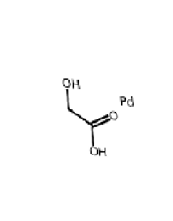 O=C(O)CO.[Pd]